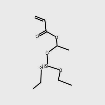 C=CC(=O)OC(C)O[SiH](OCC)OCC